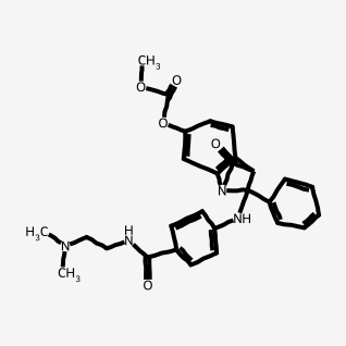 COC(=O)Oc1ccc2c(c1)N1C(=O)C2C1(Nc1ccc(C(=O)NCCN(C)C)cc1)c1ccccc1